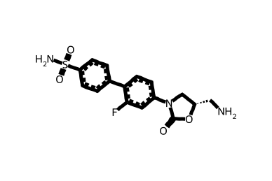 NC[C@H]1CN(c2ccc(-c3ccc(S(N)(=O)=O)cc3)c(F)c2)C(=O)O1